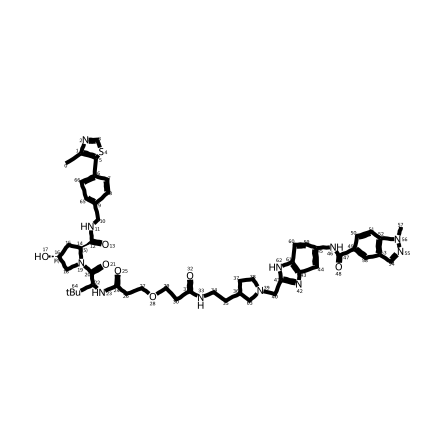 Cc1ncsc1-c1ccc(CNC(=O)[C@@H]2C[C@@H](O)CN2C(=O)C(NC(=O)CCOCCC(=O)NCCC2CCN(Cc3nc4cc(NC(=O)c5ccc6c(cnn6C)c5)ccc4[nH]3)C2)C(C)(C)C)cc1